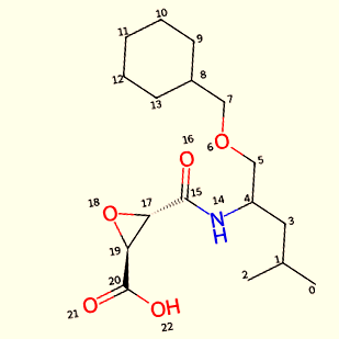 CC(C)CC(COCC1CCCCC1)NC(=O)[C@H]1O[C@@H]1C(=O)O